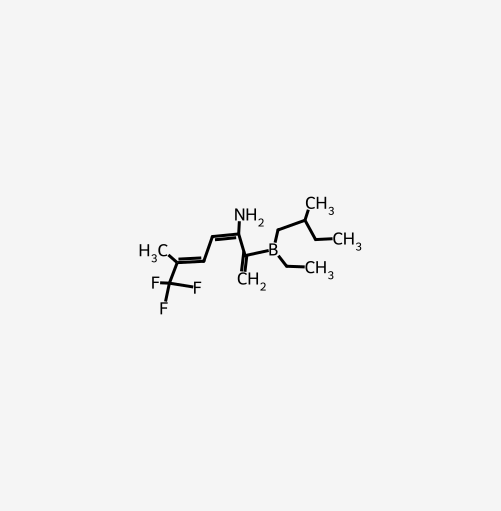 C=C(B(CC)CC(C)CC)/C(N)=C\C=C(/C)C(F)(F)F